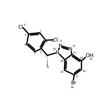 C[C@H](c1ccc(Cl)cc1Cl)n1nnc2c(O)cc(Br)cc21